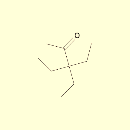 CCC(CC)(CC)C(C)=O